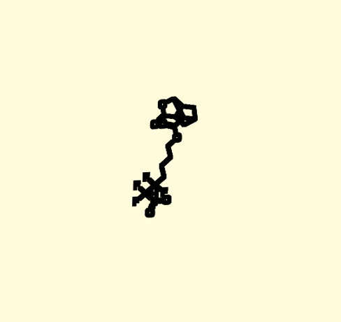 O=C1OC2C3CC(CC13)C2C(=O)OCCCCC(F)(F)C(F)(F)[SH](=O)=O